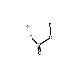 O=S(F)OF.[KH]